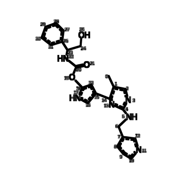 Cc1cnc(NCc2cccnc2)nc1-c1c[nH]c(OC(=O)NC(CO)c2ccccc2)c1